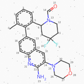 Cc1cccc(C2CC(F)(F)CCN2C=O)c1-c1ccc2nc(N)c(N3CCOCC3)cc2c1